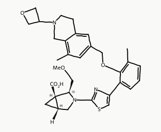 COC[C@H]1N(c2nc(-c3cccc(C)c3OCc3cc(C)c4c(c3)CCN(C3COC3)C4)cs2)C[C@@H]2C[C@@]21C(=O)O